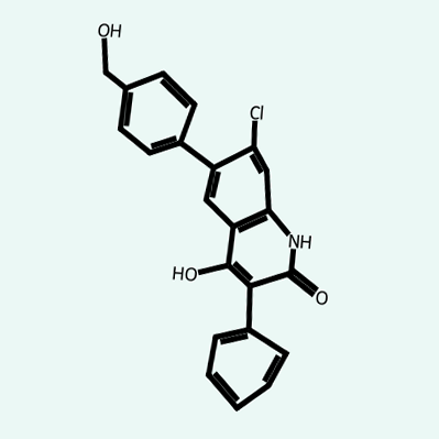 O=c1[nH]c2cc(Cl)c(-c3ccc(CO)cc3)cc2c(O)c1-c1ccccc1